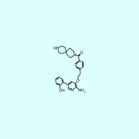 Nc1nnc(-c2ccccc2O)cc1OCCc1ccc(C(=O)N2CCC3(CCNCC3)CC2)cc1